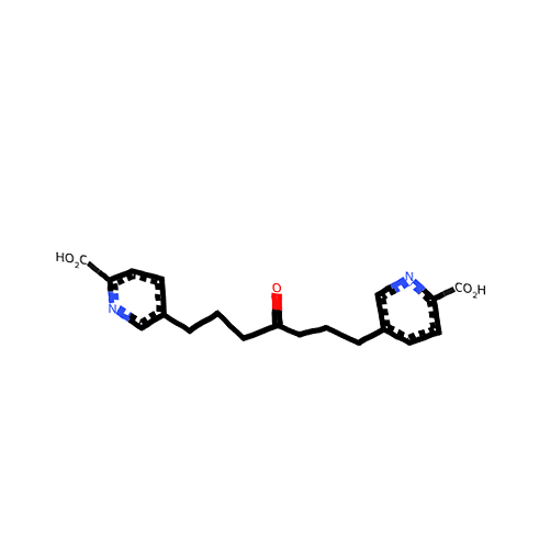 O=C(CCCc1ccc(C(=O)O)nc1)CCCc1ccc(C(=O)O)nc1